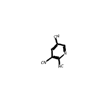 [C-]#[N+]c1cc(C#N)cnc1[N+]#[C-]